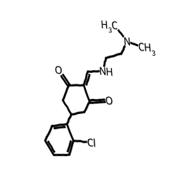 CN(C)CCNC=C1C(=O)CC(c2ccccc2Cl)CC1=O